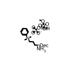 CCCCCCCCCCCCC[N+](C)(C)c1ccccc1.COS(=O)(=O)O.COS(=O)(=O)[O-].N